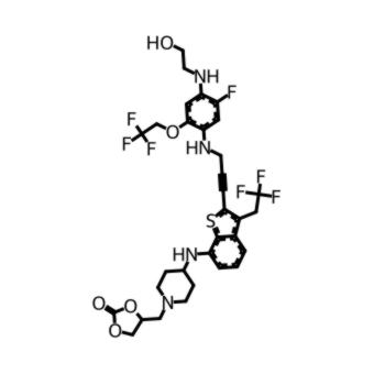 O=C1OCC(CN2CCC(Nc3cccc4c(CC(F)(F)F)c(C#CCNc5cc(F)c(NCCO)cc5OCC(F)(F)F)sc34)CC2)O1